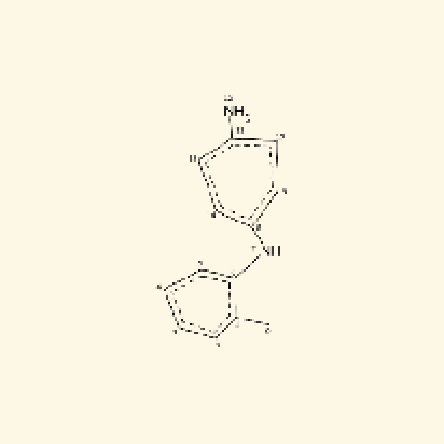 Cc1ccccc1Nc1ccc(N)cc1